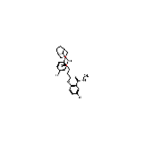 CNC(=O)c1cc(Cl)ccc1OCCCC(=O)NC1CC2CCC(C1)N2Cc1ccc(Cl)cc1